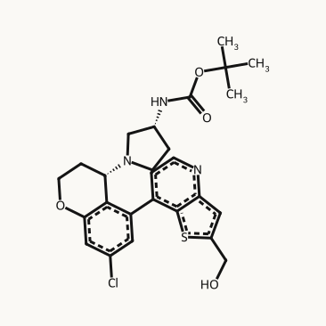 CC(C)(C)OC(=O)N[C@@H]1CCN([C@H]2CCOc3cc(Cl)cc(-c4ccnc5cc(CO)sc45)c32)C1